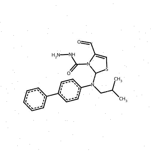 CC(C)CN(c1ccc(-c2ccccc2)cc1)C1SC=C([C]=O)N1C(=O)NN